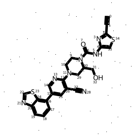 C#Cc1nc(NC(=O)N2CCN(c3ncc(-c4cccc5ncsc45)cc3C#N)CC2CO)cs1